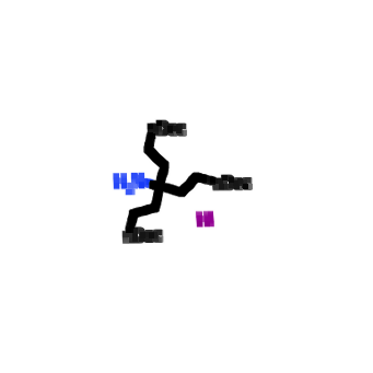 CCCCCCCCCCCCC(N)(CCCCCCCCCCCC)CCCCCCCCCCCC.I